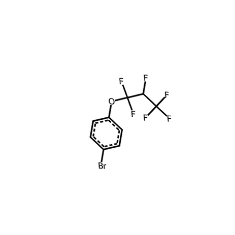 FC(C(F)(F)F)C(F)(F)Oc1ccc(Br)cc1